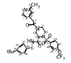 C=C/C=C(\C=C/N)CC(=O)N1CCN(S(=O)(=O)c2ccc(OC(F)(F)F)cc2)[C@@H](C(=O)NCc2ccc(C(C)(C)C)cc2)C1